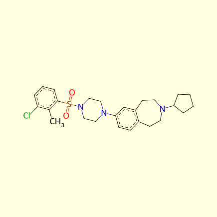 Cc1c(Cl)cccc1S(=O)(=O)N1CCN(c2ccc3c(c2)CCN(C2CCCC2)CC3)CC1